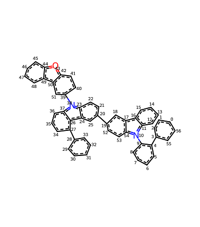 c1ccc(-c2ccccc2-n2c3ccccc3c3cc(-c4ccc5c(c4)c4c(-c6ccccc6)cccc4n5-c4ccc5oc6ccccc6c5c4)ccc32)cc1